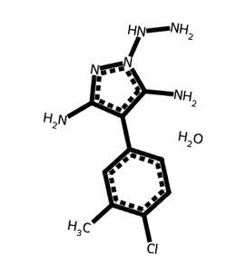 Cc1cc(-c2c(N)nn(NN)c2N)ccc1Cl.O